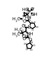 C=C[C@@H]1C[C@]1(NC(=O)C1CCCN1C(=O)C(NC(=O)OC1CCCC1)C(C)(C)C)P(=O)(O)O